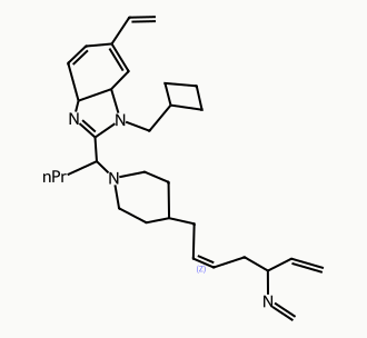 C=CC1=CC2C(C=C1)N=C(C(CCC)N1CCC(C/C=C\CC(C=C)N=C)CC1)N2CC1CCC1